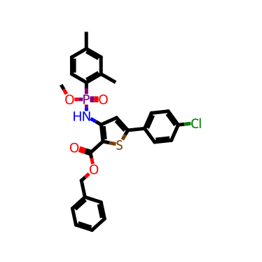 COP(=O)(Nc1cc(-c2ccc(Cl)cc2)sc1C(=O)OCc1ccccc1)c1ccc(C)cc1C